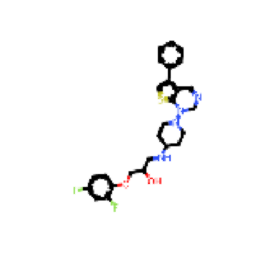 OC(CNC1CCN(N2CN=Cc3c(-c4ccccc4)csc32)CC1)COc1ccc(F)cc1F